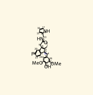 COc1cc(/C=C2/C(C)=C(CC(=O)NCc3ccc[nH]3)c3cc(F)ccc32)cc(OC)c1O